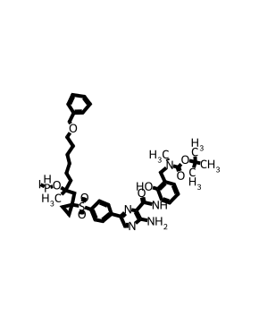 CN(Cc1cccc(NC(=O)c2nc(-c3ccc(S(=O)(=O)C4(CC(C)(CCCCCCOCc5ccccc5)OPI)CC4)cc3)cnc2N)c1O)C(=O)OC(C)(C)C